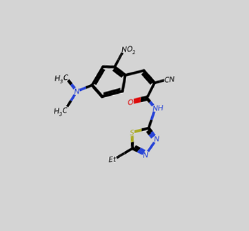 CCc1nnc(NC(=O)C(C#N)=Cc2ccc(N(C)C)cc2[N+](=O)[O-])s1